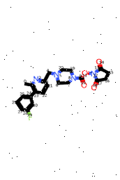 Cc1nc(CN2CCN(C(=O)ON3C(=O)CCC3=O)CC2)ccc1-c1cccc(F)c1